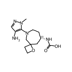 Cn1ncc(N)c1N1CC[C@H](NC(=O)O)CC2(CCO2)C1